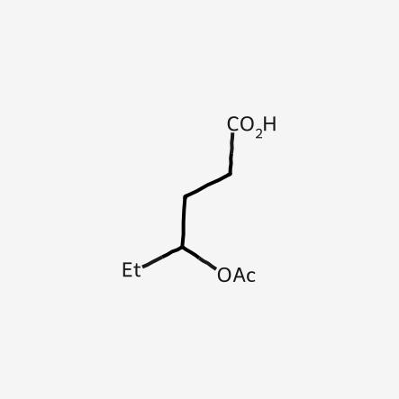 CCC(CCC(=O)O)OC(C)=O